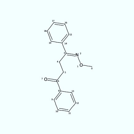 CON=C(CCC(=O)c1ccccc1)c1ccccc1